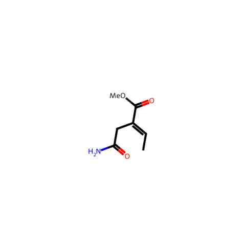 CC=C(CC(N)=O)C(=O)OC